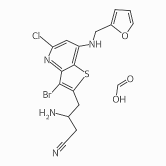 N#CCC(N)Cc1sc2c(NCc3ccco3)cc(Cl)nc2c1Br.O=CO